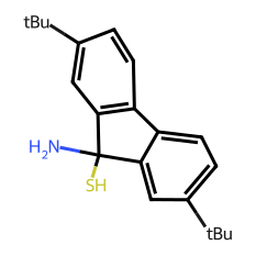 CC(C)(C)c1ccc2c(c1)C(N)(S)c1cc(C(C)(C)C)ccc1-2